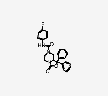 O=C(Nc1ccc(F)cc1)N1CCN2C(=O)OC(c3ccccc3)(c3ccccc3)C2C1